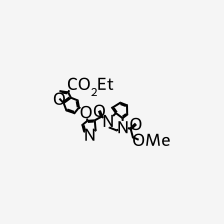 CCOC(=O)c1coc2ccc(Oc3ccncc3C(=O)N3CCN(C(=O)COC)c4ccccc43)cc12